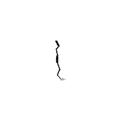 C=CC/C=C/CCCCCC